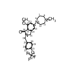 COc1cc(N2CCCN(C)CC2)cc2c1C(=O)N(Cc1ccc(OC(F)(F)F)cc1)C2